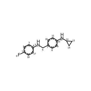 Fc1ccc(NCc2ccc(NC3CC3)cc2)cc1